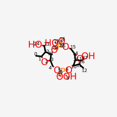 CC1OC2COP(=O)(O)OC3C(C)OC(COP(=O)(O)OC2C1CO)C3CO